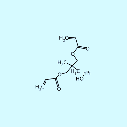 C=CC(=O)OCC(C)(C)COC(=O)C=C.CCCO